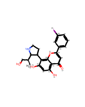 CC(CO)C1NCCC1c1c(O)cc(O)c2c(=O)cc(-c3cccc(I)c3)oc12